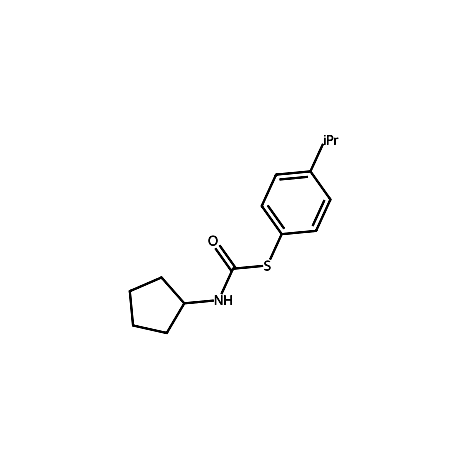 CC(C)c1ccc(SC(=O)NC2CCCC2)cc1